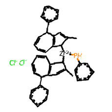 CC1=CC2=C(C=CC=CC2c2ccccc2)[CH]1[Zr+2]([PH]c1ccccc1)[CH]1C(C)=CC2=C1C=CC=CC2c1ccccc1.[Cl-].[Cl-]